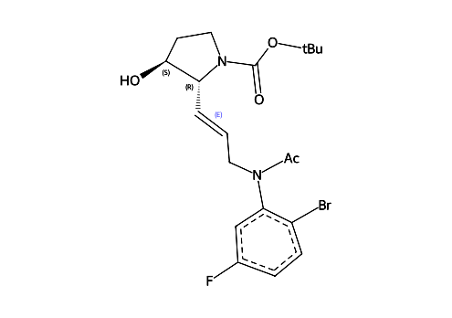 CC(=O)N(C/C=C/[C@@H]1[C@@H](O)CCN1C(=O)OC(C)(C)C)c1cc(F)ccc1Br